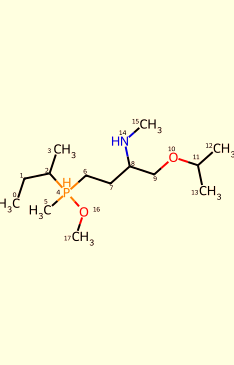 CCC(C)[PH](C)(CCC(COC(C)C)NC)OC